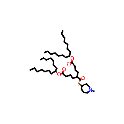 CCCCCCCC(CCCCCCC)OC(=O)CCCC(CCCC(=O)OC(CCCCCCC)CCCCCCC)C(=O)SC1CCCN(C)CC1